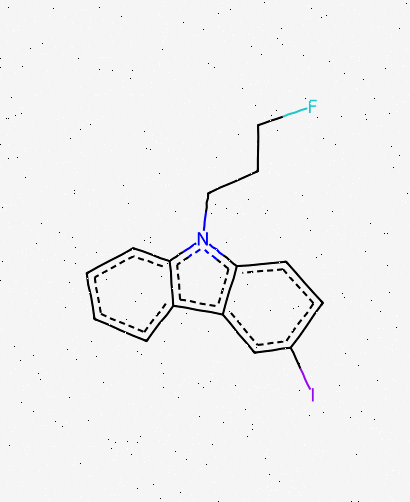 FCCCn1c2ccccc2c2cc(I)ccc21